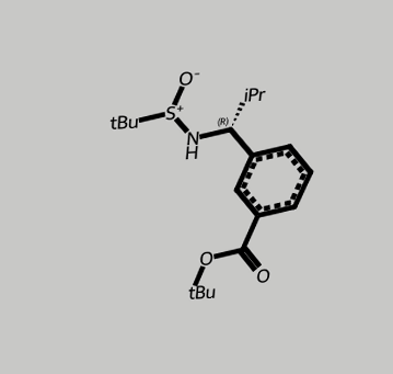 CC(C)[C@@H](N[S+]([O-])C(C)(C)C)c1cccc(C(=O)OC(C)(C)C)c1